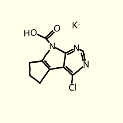 O=C(O)n1c2c(c3c(Cl)ncnc31)CCC2.[K]